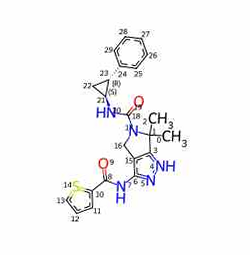 CC1(C)c2[nH]nc(NC(=O)c3cccs3)c2CN1C(=O)N[C@H]1C[C@@H]1c1ccccc1